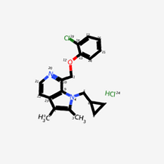 Cc1c(C)n(CC2CC2)c2c(COc3ccccc3Cl)nccc12.Cl